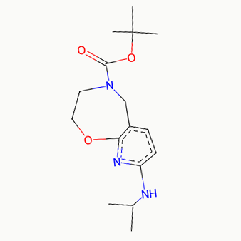 CC(C)Nc1ccc2c(n1)OCCN(C(=O)OC(C)(C)C)C2